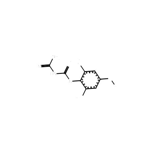 CCOc1cc(C)c(NC(=O)NC(=N)N)c(C)c1